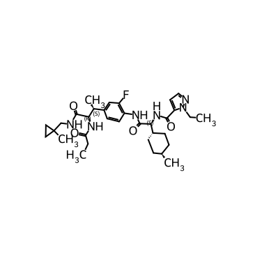 CCC(=O)N[C@@H](C(=O)NCC1(C)CC1)[C@@H](C)c1ccc(NC(=O)[C@@H](NC(=O)c2ccnn2CC)[C@H]2CC[C@H](C)CC2)c(F)c1